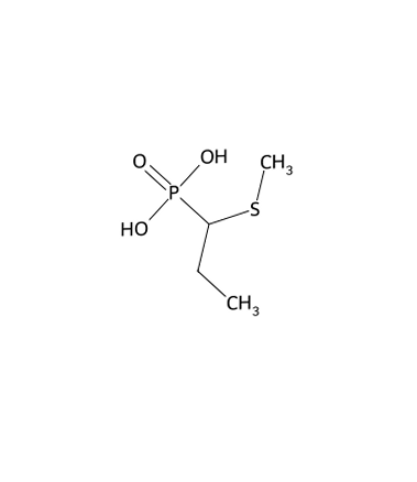 CCC(SC)P(=O)(O)O